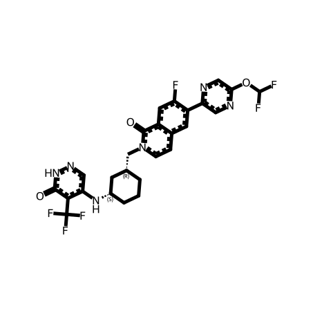 O=c1[nH]ncc(N[C@H]2CCC[C@@H](Cn3ccc4cc(-c5cnc(OC(F)F)cn5)c(F)cc4c3=O)C2)c1C(F)(F)F